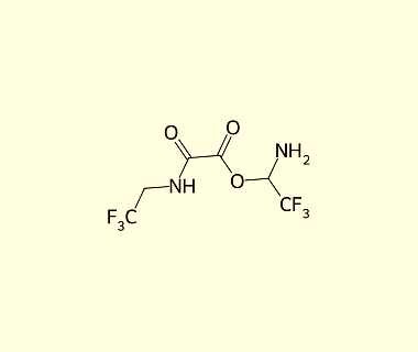 NC(OC(=O)C(=O)NCC(F)(F)F)C(F)(F)F